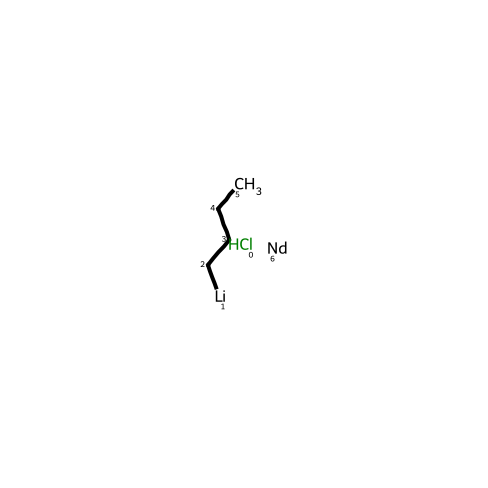 Cl.[Li][CH2]CCC.[Nd]